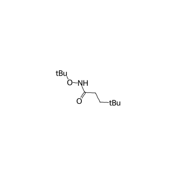 CC(C)(C)CCC(=O)NOC(C)(C)C